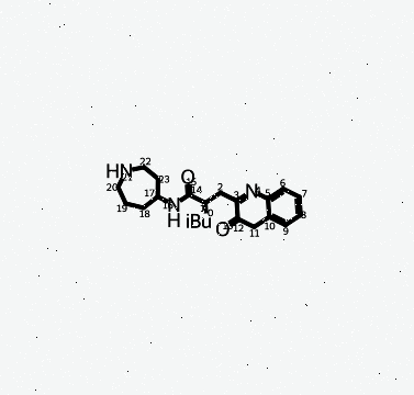 [CH2]CC(C)C(CC1=Nc2ccccc2CC1=O)C(=O)NC1CCCNCC1